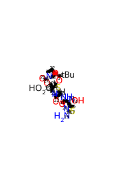 CC(C)(C)C(=O)OCC1S[C@@H]2C(NC(=O)C(=NO)c3csc(N)n3)C(=O)N2CC1(COC(=O)N1CCCC1)C(=O)O